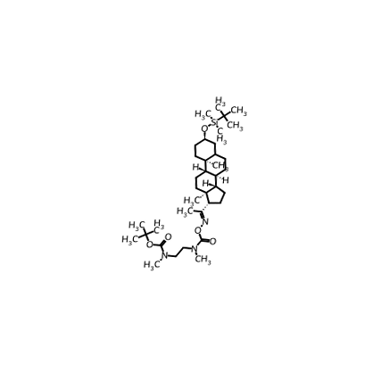 C/C(=N\OC(=O)N(C)CCN(C)C(=O)OC(C)(C)C)[C@H]1CC[C@H]2[C@@H]3CCC4C[C@H](O[Si](C)(C)C(C)(C)C)CC[C@]4(C)[C@H]3CC[C@]12C